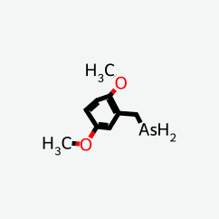 COc1ccc(OC)c(C[AsH2])c1